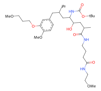 COCCCOc1cc(CC(CC(NC(=O)OC(C)(C)C)C(O)CC(C)C(=O)NCCCC(=O)NCCOC)C(C)C)ccc1OC